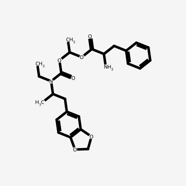 CCN(C(=O)OC(C)OC(=O)C(N)Cc1ccccc1)C(C)Cc1ccc2c(c1)OCO2